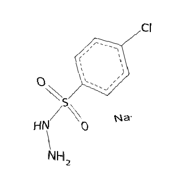 NNS(=O)(=O)c1ccc(Cl)cc1.[Na]